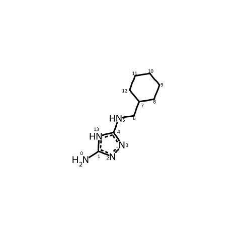 Nc1nnc(NCC2CCCCC2)[nH]1